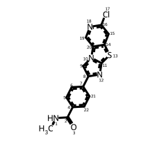 CNC(=O)c1ccc(-c2cn3c(n2)sc2cc(Cl)ncc23)cc1